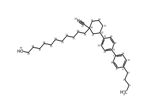 CCCCc1ccc(-c2ccc(C3CCCC(C#N)(CCCCCCCCCCCO)C3)cc2)cc1